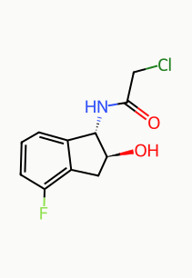 O=C(CCl)N[C@H]1c2cccc(F)c2C[C@@H]1O